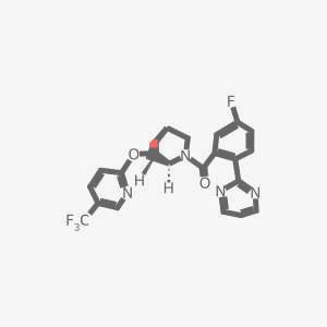 O=C(c1cc(F)ccc1-c1ncccn1)N1CC2CC[C@H]1[C@H](Oc1ccc(C(F)(F)F)cn1)C2